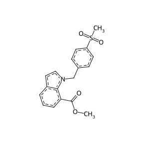 COC(=O)c1cccc2ccn(Cc3ccc(S(C)(=O)=O)cc3)c12